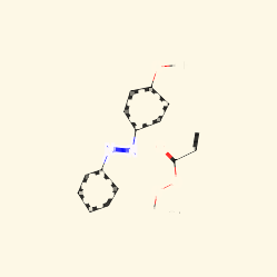 C=CC(=O)OOCCCCCC.FC(F)(F)Oc1ccc(N=Nc2ccccc2)cc1